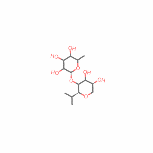 CC1O[C@@H](OC2C(O)[C@@H](O)CO[C@H]2C(C)C)C(O)C(O)[C@H]1O